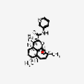 C[C@H]1[C@H](C(=O)Nc2cccnc2)O[C@@H]2O[C@@]3(C)CC[C@H]4[C@H](C)CC[C@@H]1[C@@]24OO3